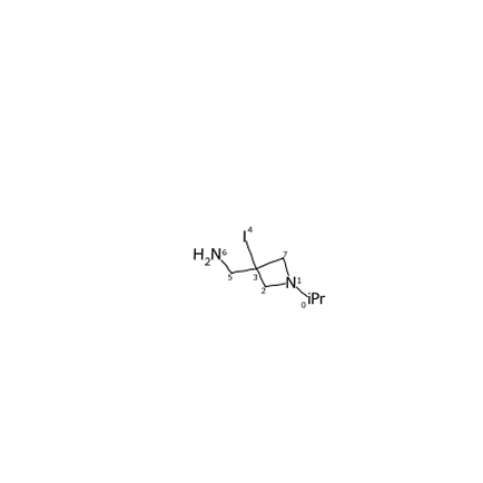 CC(C)N1CC(I)(CN)C1